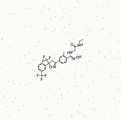 CCNC(=O)CN/C(=N\O)c1ccc(C2=NOC(c3cccc(C(F)(F)F)c3)(C(F)(F)F)C2)cc1C